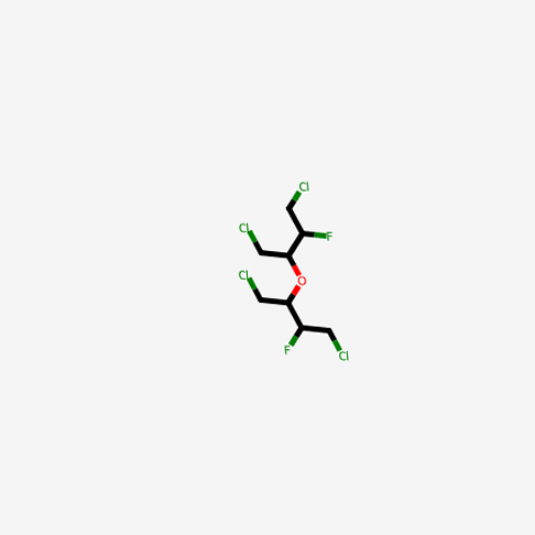 FC(CCl)C(CCl)OC(CCl)C(F)CCl